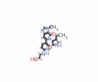 C[C@@H](Oc1nc(-c2ccc(NCCO)nc2)cc2ncn(C)c12)[C@H]1CNC(=O)C1